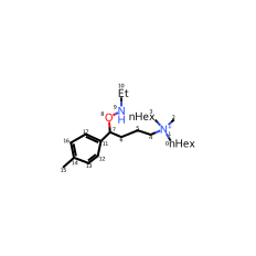 CCCCCC[N+](C)(CCCCCC)CCCC(ONCC)c1ccc(C)cc1